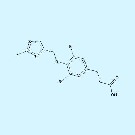 Cc1nc(COc2c(Br)cc(CCC(=O)O)cc2Br)cs1